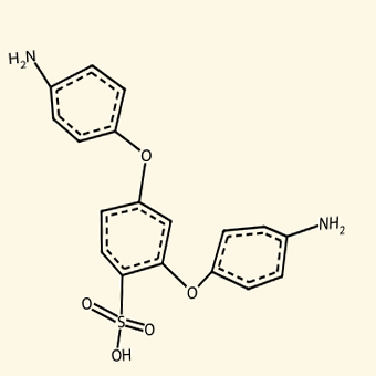 Nc1ccc(Oc2ccc(S(=O)(=O)O)c(Oc3ccc(N)cc3)c2)cc1